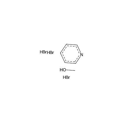 Br.Br.Br.CO.c1ccncc1